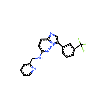 FC(F)(F)c1cccc(-c2cnc3ccc(NCc4ccccn4)nn23)c1